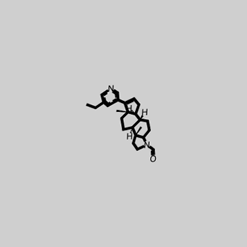 CCc1cncc(C2=CC[C@H]3[C@@H]4CCC5N(C=O)CC[C@]5(C)[C@H]4CC[C@]23C)c1